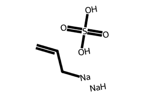 C=C[CH2][Na].O=S(=O)(O)O.[NaH]